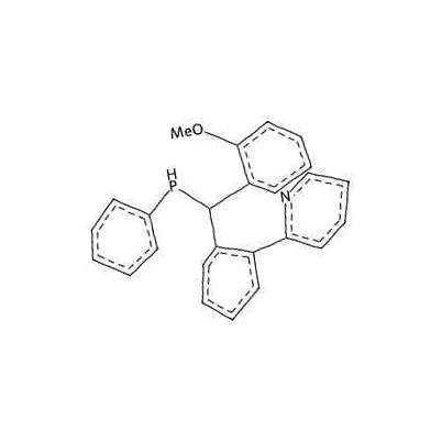 COc1ccccc1C(Pc1ccccc1)c1ccccc1-c1ccccn1